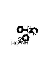 OC1Nc2ccc(-n3c(-c4ccccc4)nc4cccnc43)cc2S1